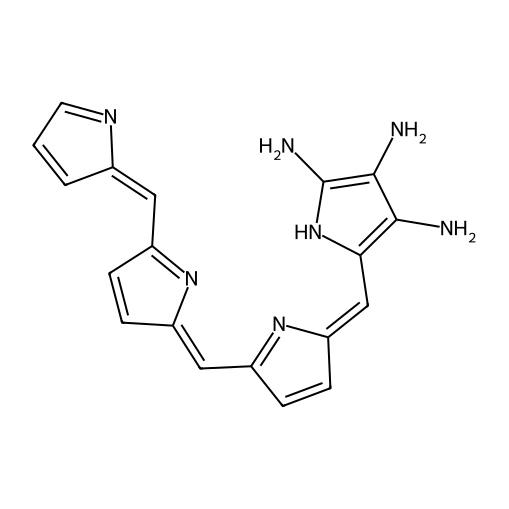 Nc1[nH]c(C=C2C=CC(C=C3C=CC(C=C4C=CC=N4)=N3)=N2)c(N)c1N